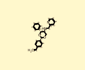 C=Cc1ccc([C@@H]2OC[C@H](NCc3ccccn3)[C@@H](c3ccccc3)O2)cc1